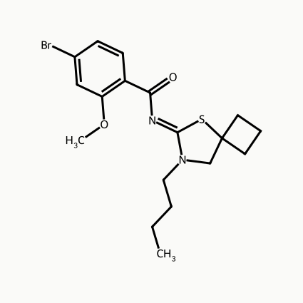 CCCCN1CC2(CCC2)SC1=NC(=O)c1ccc(Br)cc1OC